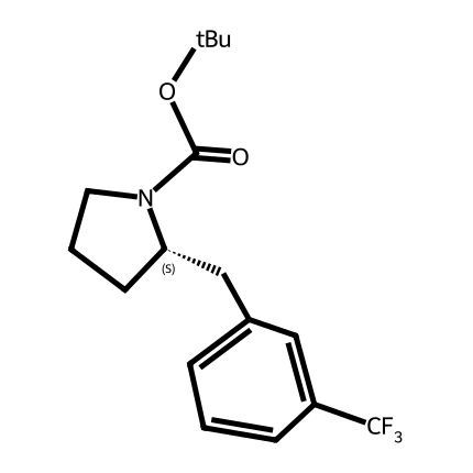 CC(C)(C)OC(=O)N1CCC[C@H]1Cc1cccc(C(F)(F)F)c1